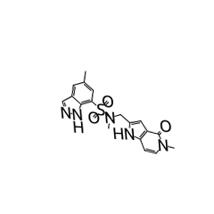 Cc1cc(S(=O)(=O)N(C)Cc2cc3c(=O)n(C)ccc3[nH]2)c2[nH]ncc2c1